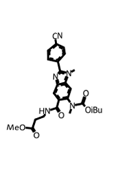 COC(=O)CCNC(=O)c1cc2nc(-c3ccc(C#N)cc3)n(C)c2cc1N(C)C(=O)OCC(C)C